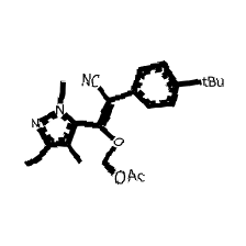 CC(=O)OCO/C(=C(/C#N)c1ccc(C(C)(C)C)cc1)c1c(C)c(C)nn1C